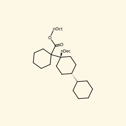 CCCCCCCCCC[C@]1(C2(C(=O)OCCCCCCCC)CCCCC2)CC[C@@H](C2CCCCC2)CC1